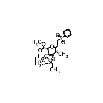 CC[Si](CC)(CC)O[C@H]1[C@@H](C)[C@@H](C(=O)OC)O[C@@H](CCS(=O)(=O)c2ccccc2)[C@H]1C